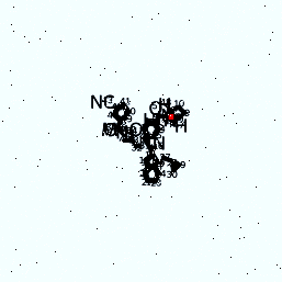 COc1cc(C(=O)N2C[C@H]3CC[C@@H]2[C@@H]3N)cc2nc(-c3cc4ccccc4n3CC3CC3)n(CC3CN(C(=O)c4cccc(C#N)c4)C3)c12